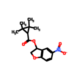 CC1(C)C(C(=O)OC2COc3ccc([N+](=O)[O-])cc32)C1(C)C